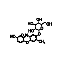 Cc1cc(Oc2ccc(C#N)cc2)c([N+](=O)[O-])cc1OC1OC(CO)C(O)C(O)C1O